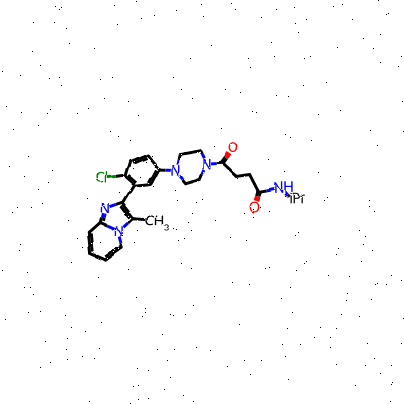 Cc1c(-c2cc(N3CCN(C(=O)CCC(=O)NC(C)C)CC3)ccc2Cl)nc2ccccn12